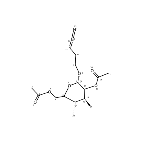 CC(=O)OCC1O[C@H](OCCN=[N+]=[N-])C(OC(C)=O)[C@@H](C)[C@@H]1C